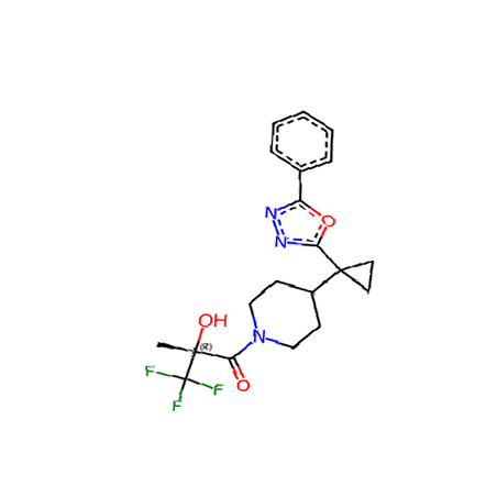 C[C@@](O)(C(=O)N1CCC(C2(c3nnc(-c4ccccc4)o3)CC2)CC1)C(F)(F)F